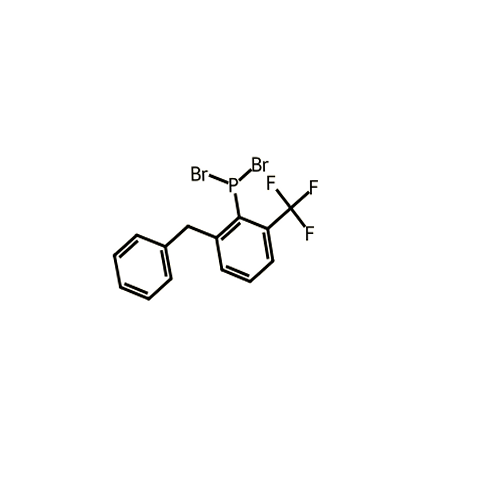 FC(F)(F)c1cccc(Cc2ccccc2)c1P(Br)Br